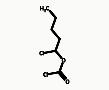 CCCCC(Cl)OC(=O)Cl